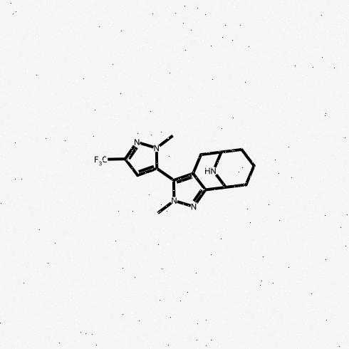 Cn1nc(C(F)(F)F)cc1-c1c2c(nn1C)C1CCCC(C2)N1